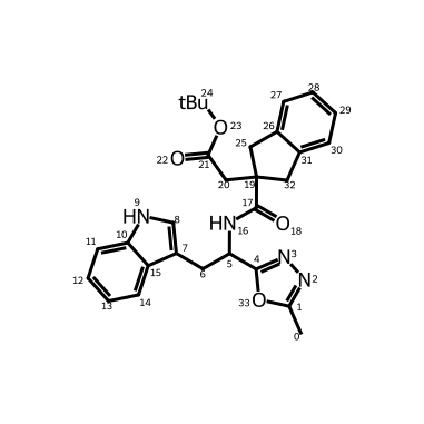 Cc1nnc(C(Cc2c[nH]c3ccccc23)NC(=O)C2(CC(=O)OC(C)(C)C)Cc3ccccc3C2)o1